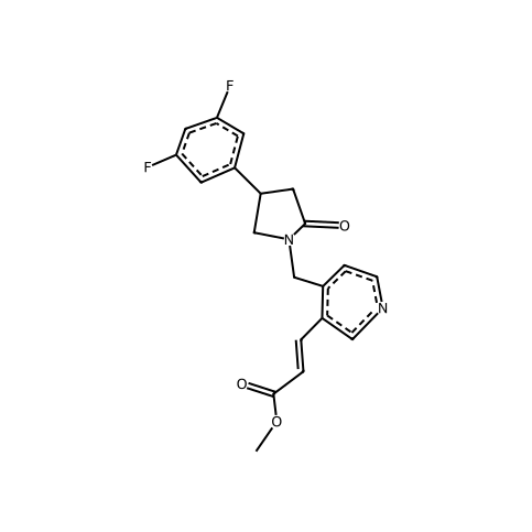 COC(=O)/C=C/c1cnccc1CN1CC(c2cc(F)cc(F)c2)CC1=O